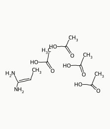 CC(=O)O.CC(=O)O.CC(=O)O.CC(=O)O.CC=C(N)N